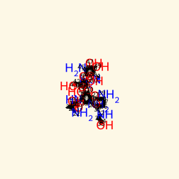 NC[C@@H]1O[C@H](O[C@H]2[C@@H](O)[C@H](O[C@@H]3[C@@H](O)[C@H](NC(=O)C4(O)CC4N)C[C@H](N)[C@H]3O[C@H]3O[C@H](CNCCO)C=C[C@H]3N)O[C@@H]2CO)[C@H](N)[C@@H](O)[C@@H]1O